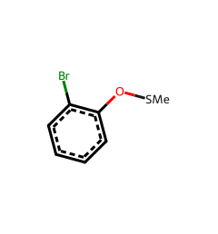 CSOc1ccccc1Br